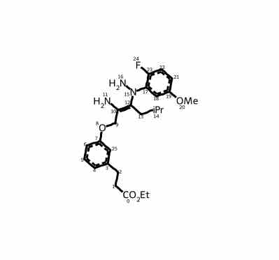 CCOC(=O)CCc1cccc(OC/C(N)=C(\CC(C)C)N(N)c2cc(OC)ccc2F)c1